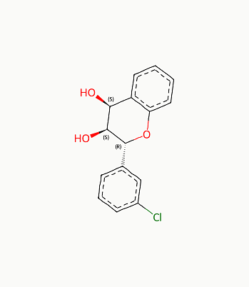 O[C@@H]1[C@@H](c2cccc(Cl)c2)Oc2ccccc2[C@@H]1O